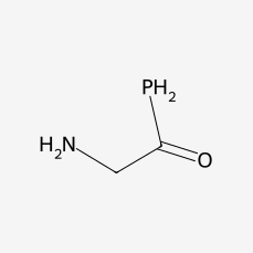 NCC(=O)P